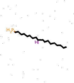 CCCCCCCCCCCCCCCCCCP.I